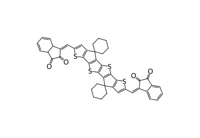 O=C1C(=O)c2ccccc2/C1=C/c1cc2c(s1)-c1sc3c4c(sc3c1C21CCCCC1)-c1sc(/C=C2\C(=O)C(=O)C3C=CC=CC23)cc1C41CCCCC1